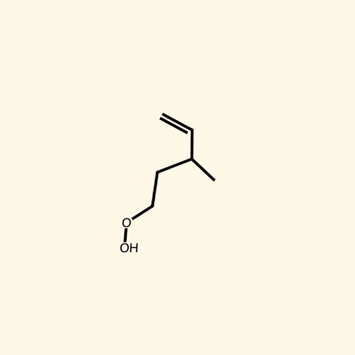 C=CC(C)CCOO